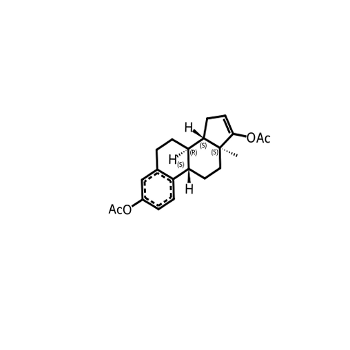 CC(=O)OC1=CC[C@H]2[C@@H]3CCc4cc(OC(C)=O)ccc4[C@H]3CC[C@]12C